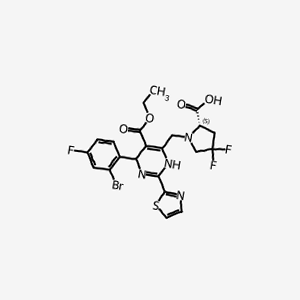 CCOC(=O)C1=C(CN2CC(F)(F)C[C@H]2C(=O)O)NC(c2nccs2)=NC1c1ccc(F)cc1Br